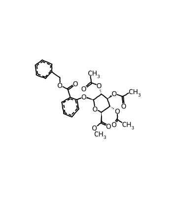 COC(=O)[C@H]1O[C@@H](Oc2ccccc2C(=O)OCc2ccccc2)[C@H](OC(C)=O)[C@@H](OC(C)=O)[C@@H]1OC(C)=O